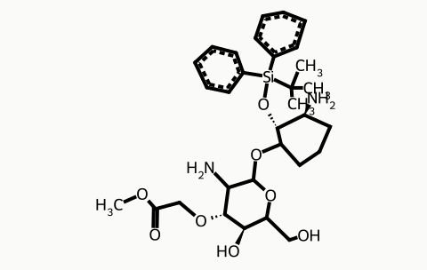 COC(=O)CO[C@@H]1C(N)C(OC2CCC[C@H](N)[C@H]2O[Si](c2ccccc2)(c2ccccc2)C(C)(C)C)OC(CO)[C@H]1O